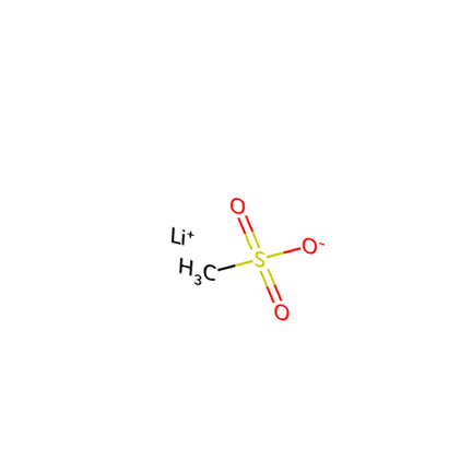 CS(=O)(=O)[O-].[Li+]